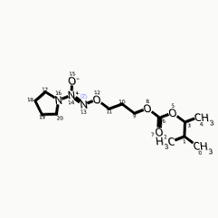 CC(C)C(C)OC(=O)OCCCO/N=[N+](\[O-])N1CCCC1